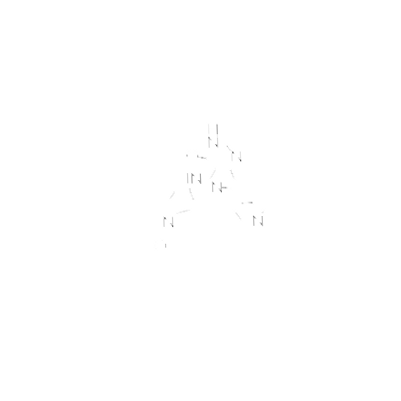 O=c1[nH]cnc2cc(-c3ccncc3)nc(Nc3ccc(N4CCOCC4)cc3)c12